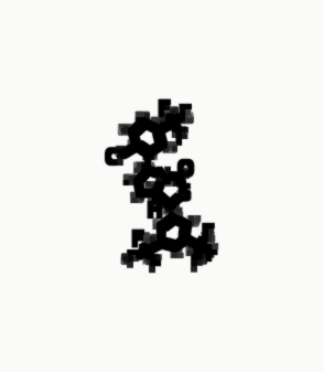 O=C1S[C@H](c2cc(C(F)(F)F)cc(C(F)(F)F)c2)[C@@H]2CC[C@@H](c3cc(C(F)(F)F)ccc3Cl)N12